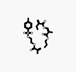 C=C(C)C(=O)OCCOS(=O)(=O)c1ccc(C)cc1.C=C(CC)C(=O)OC=C(C)C(=O)OCCC